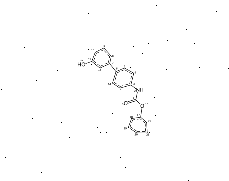 O=C(Nc1ccc(-c2cccc(O)c2)cc1)Oc1ccccc1